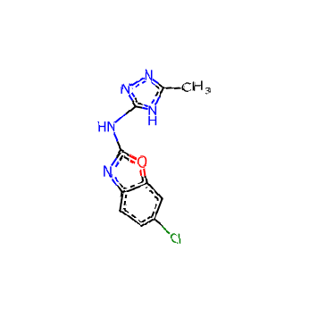 Cc1nnc(Nc2nc3ccc(Cl)cc3o2)[nH]1